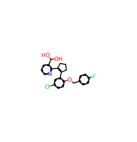 OC(O)c1cccnc1C1=C(c2cc(Cl)ccc2OCc2ccc(F)cc2)CCC1